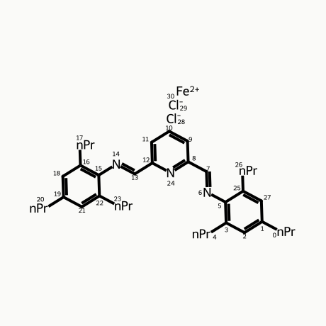 CCCc1cc(CCC)c(N=Cc2cccc(C=Nc3c(CCC)cc(CCC)cc3CCC)n2)c(CCC)c1.[Cl-].[Cl-].[Fe+2]